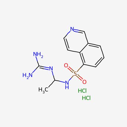 CC(N=C(N)N)NS(=O)(=O)c1cccc2cnccc12.Cl.Cl